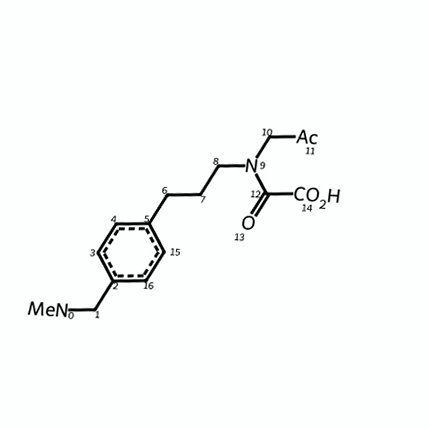 CNCc1ccc(CCCN(CC(C)=O)C(=O)C(=O)O)cc1